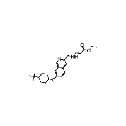 CCOC(=O)CCNCc1cc2ccc(OC3CCC(C(C)(C)C)CC3)cc2cn1